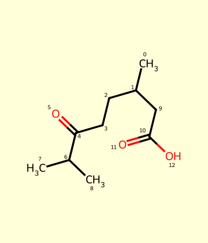 CC(CCC(=O)C(C)C)CC(=O)O